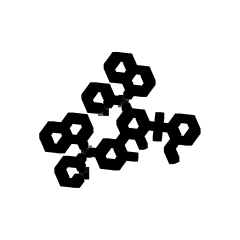 C=CC1=C(C(C)(C)c2cc(N(c3ccccn3)c3cccc4ccccc34)cc(-c3cc(N(c4ccccn4)c4cccc5ccccc45)ccc3C)c2C)CCC=C1